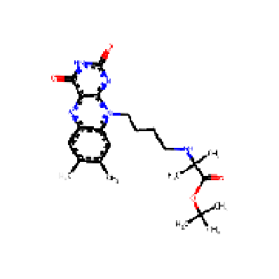 Cc1cc2nc3c(=O)[nH]c(=O)nc-3n(CCCCNC(C)(C)C(=O)OC(C)(C)C)c2cc1C